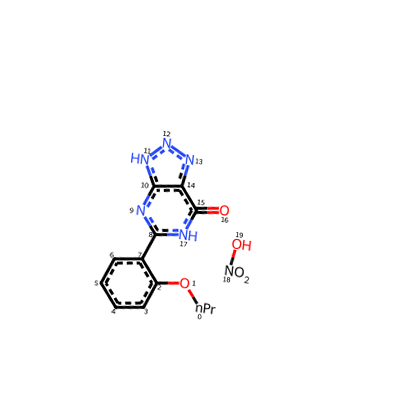 CCCOc1ccccc1-c1nc2[nH]nnc2c(=O)[nH]1.O=[N+]([O-])O